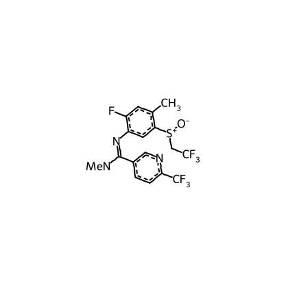 CN/C(=N/c1cc([S+]([O-])CC(F)(F)F)c(C)cc1F)c1ccc(C(F)(F)F)nc1